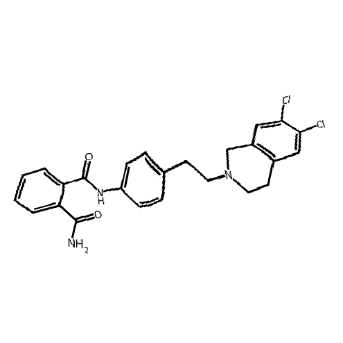 NC(=O)c1ccccc1C(=O)Nc1ccc(CCN2CCc3cc(Cl)c(Cl)cc3C2)cc1